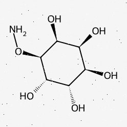 NO[C@H]1[C@@H](O)[C@@H](O)[C@@H](O)[C@H](O)[C@@H]1O